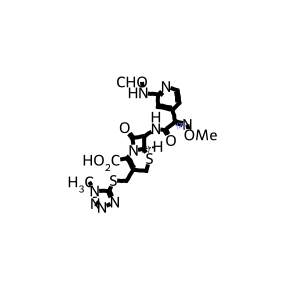 CO/N=C(\C(=O)NC1C(=O)N2C(C(=O)O)=C(CSc3nnnn3C)CS[C@H]12)c1ccnc(NC=O)c1